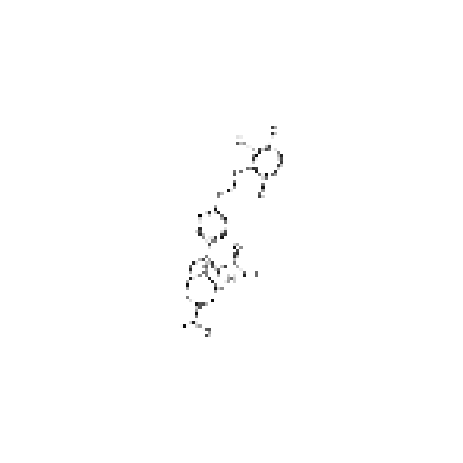 CC(=O)N1CC2CC(c3ccc(CCOc4c(Cl)ccc(Cl)c4Cl)cc3)=C(C(=O)O)[C@@H](C1)N2